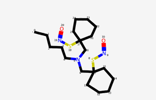 [CH2]CCCCN(CC1(SN=O)CCCCC1)CC1(SN=O)CCCCC1